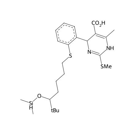 CSC1=NC(c2ccccc2SCCCCC(O[SiH](C)C)C(C)(C)C)C(C(=O)O)=C(C)N1